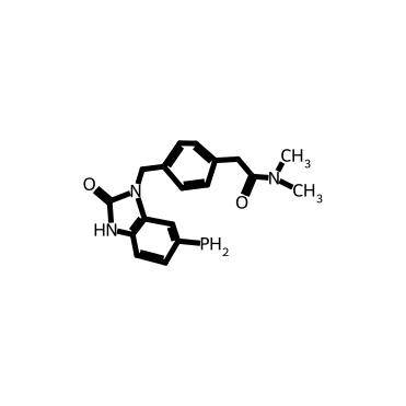 CN(C)C(=O)Cc1ccc(Cn2c(=O)[nH]c3ccc(P)cc32)cc1